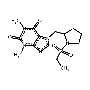 CCS(=O)(=O)N1CCSC1Cn1cnc2c1c(=O)n(C)c(=O)n2C